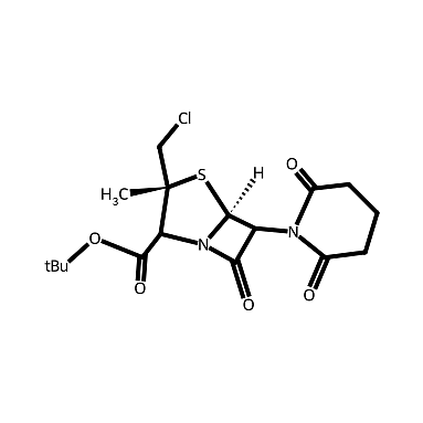 CC(C)(C)OC(=O)C1N2C(=O)C(N3C(=O)CCCC3=O)[C@@H]2S[C@@]1(C)CCl